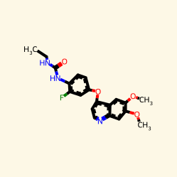 CCNC(=O)Nc1ccc(Oc2ccnc3cc(OC)c(OC)cc23)cc1F